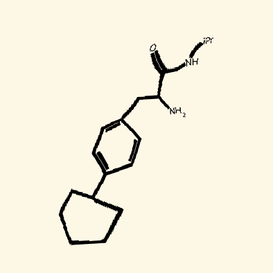 CC(C)NC(=O)C(N)Cc1ccc(C2CCCCC2)cc1